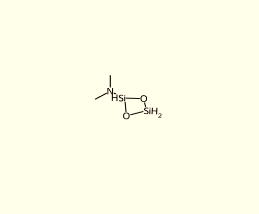 CN(C)[SiH]1O[SiH2]O1